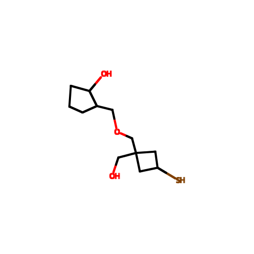 OCC1(COCC2CCCC2O)CC(S)C1